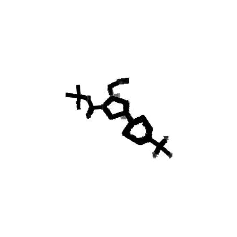 CC(C)(C)OC(=O)N1C[C@H](c2ccc(C(F)(F)F)cc2)C[C@H]1CO